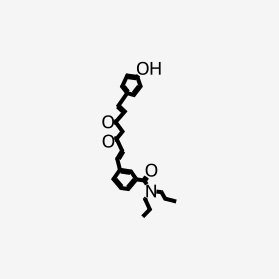 CCCN(CCC)C(=O)c1cccc(C=CC(=O)CC(=O)C=Cc2ccc(O)cc2)c1